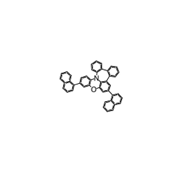 c1ccc2c(c1)-c1ccccc1N1c3ccc(-c4cccc5ccccc45)cc3Oc3cc(-c4cccc5ccccc45)cc-2c31